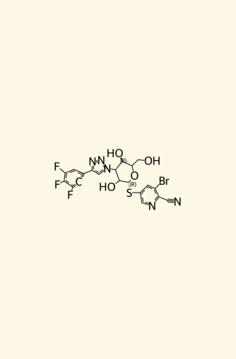 N#Cc1ncc(S[C@H]2OC(CO)[C@H](O)C(n3cc(-c4cc(F)c(F)c(F)c4)nn3)C2O)cc1Br